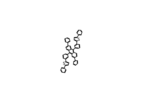 c1ccc(-c2ccc3c(-c4cccc(-c5ccc(-c6ccccc6)s5)c4)c4cc(-c5ccccc5)ccc4c(-c4cccc(-c5ccc(-c6ccccc6)s5)c4)c3c2)cc1